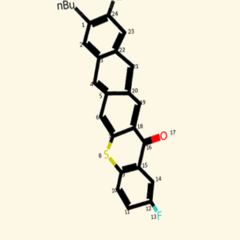 CCCCc1cc2cc3cc4sc5ccc(F)cc5c(=O)c4cc3cc2cc1CCCC